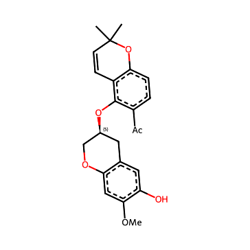 COc1cc2c(cc1O)C[C@H](Oc1c(C(C)=O)ccc3c1C=CC(C)(C)O3)CO2